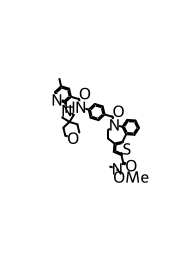 CON(C)C(=O)c1cc2c(s1)-c1ccccc1N(C(=O)c1ccc(NC(=O)c3cc(C)cnc3N3CC4(CCOCC4)C3)cc1)CC2